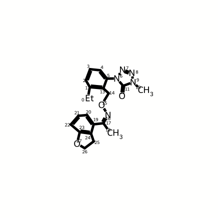 CCc1cccc(-n2nnn(C)c2=O)c1CO/N=C(/C)c1cccc2c1CCO2